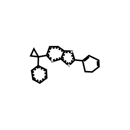 C1=CCCC(c2nc3ccc(C4(c5ccccc5)CC4)nc3s2)=C1